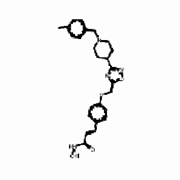 Cc1ccc(CN2CCC(c3noc(COc4ccc(C=CC(=O)NO)cc4)n3)CC2)cc1